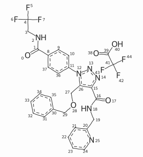 O=C(NCC(F)(F)F)c1ccc(-n2nnc(C(=O)NCc3ccccn3)c2COCc2ccccc2)cc1.O=C(O)C(F)(F)F